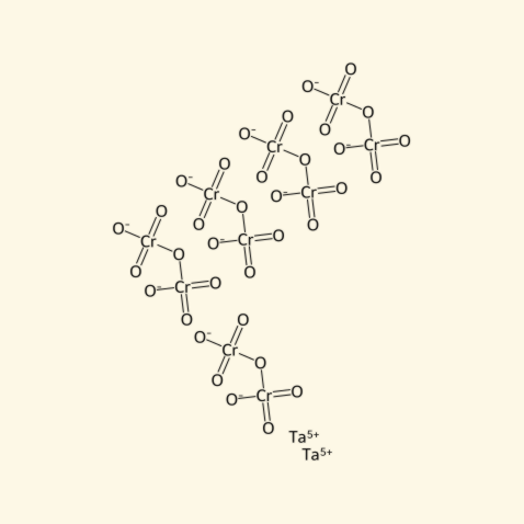 [O]=[Cr](=[O])([O-])[O][Cr](=[O])(=[O])[O-].[O]=[Cr](=[O])([O-])[O][Cr](=[O])(=[O])[O-].[O]=[Cr](=[O])([O-])[O][Cr](=[O])(=[O])[O-].[O]=[Cr](=[O])([O-])[O][Cr](=[O])(=[O])[O-].[O]=[Cr](=[O])([O-])[O][Cr](=[O])(=[O])[O-].[Ta+5].[Ta+5]